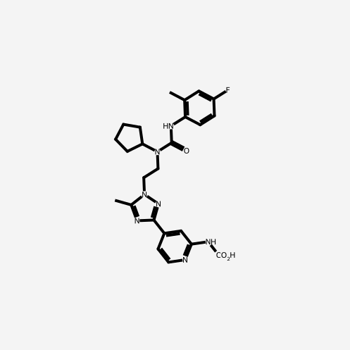 Cc1cc(F)ccc1NC(=O)N(CCn1nc(-c2ccnc(NC(=O)O)c2)nc1C)C1CCCC1